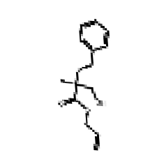 C=CCOC(=O)[C@@](C)(CO)OCc1ccccc1